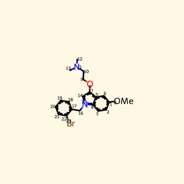 COc1ccc2c(c1)c(OCCN(C)C)cn2Cc1ccccc1Br